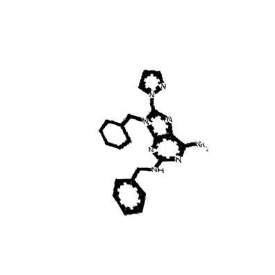 Nc1nc(NCc2ccccc2)nc2c1nc(-n1cccn1)n2CC1CCCCC1